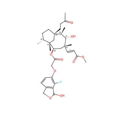 COC(=O)/C=C/[C@]1(C)C[C@@H](OC(=O)COc2ccc3c(c2F)B(O)OC3)[C@@]2(C)C[C@](CCC(C)=O)(CC[C@H]2C)[C@@H](C)[C@@H]1O